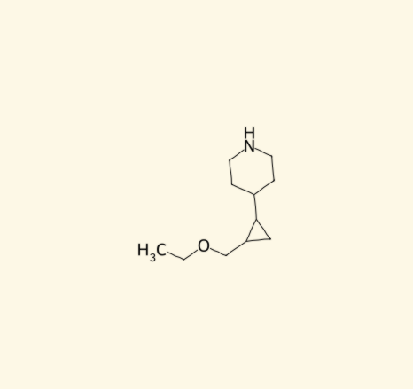 CCOCC1CC1C1CCNCC1